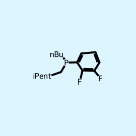 CCCCP(CC(C)CCC)c1cccc(F)c1F